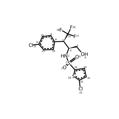 O=S(=O)(N[C@H](CO)[C@@H](c1ccc(Cl)cc1)C(F)(F)F)c1ccc(Cl)s1